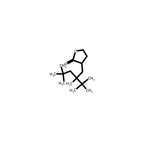 CC(C)(C)CC(C)(CC1CCOC1=O)C(C)(C)C